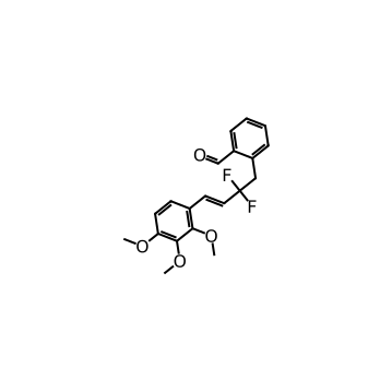 COc1ccc(/C=C/C(F)(F)Cc2ccccc2C=O)c(OC)c1OC